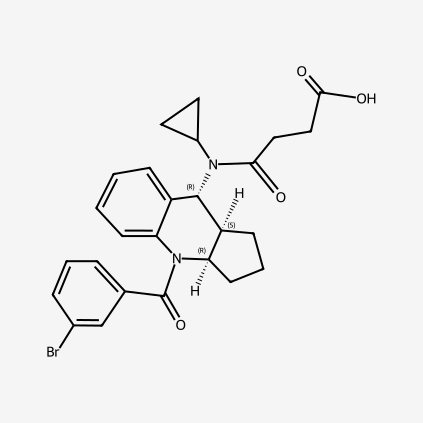 O=C(O)CCC(=O)N(C1CC1)[C@H]1c2ccccc2N(C(=O)c2cccc(Br)c2)[C@@H]2CCC[C@@H]21